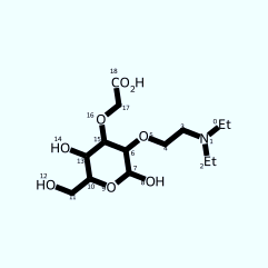 CCN(CC)CCOC1C(O)OC(CO)C(O)C1OCC(=O)O